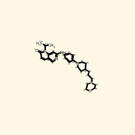 CC(C)n1c(=O)ccc2cnc(Nc3ccc(N4CCC(CCCN5CCOCC5)CC4)cc3)cc21